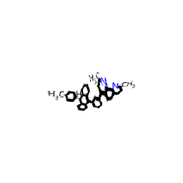 Cc1ccc2ccc3c(C4=CC(C5=C6C=CCC[C@@H]6[C@@H](C6=CC[C@@H](C)C=C6)c6ccccc65)=CCC4)cc(C)nc3c2n1